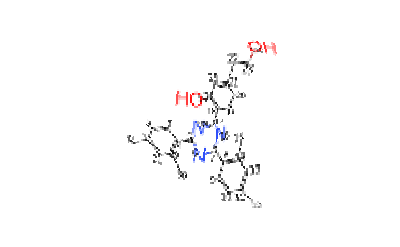 Cc1ccc(-c2nc(-c3ccc(C)cc3C)nc(-c3ccc(CCO)cc3O)n2)c(C)c1